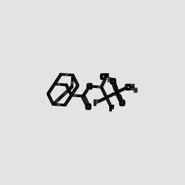 CS(=O)(=O)C(F)(F)C(OC(=O)C12CC3CC(CC(C3)C1)C2)C(F)(F)F